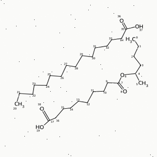 CCCCC(C)OC(=O)CCCCCCCCC(=O)O.CCCCCCCCCCCCCCCC(=O)O